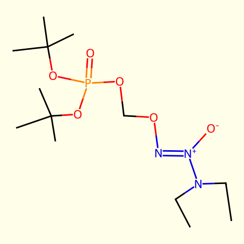 CCN(CC)/[N+]([O-])=N/OCOP(=O)(OC(C)(C)C)OC(C)(C)C